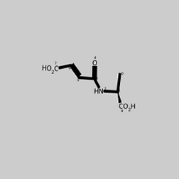 C[C@H](NC(=O)/C=C/C(=O)O)C(=O)O